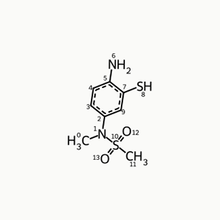 CN(c1ccc(N)c(S)c1)S(C)(=O)=O